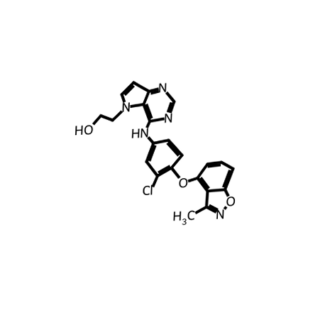 Cc1noc2cccc(Oc3ccc(Nc4ncnc5ccn(CCO)c45)cc3Cl)c12